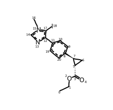 CCOC(=O)[C@H]1C[C@@H]1c1ccc(-c2ncn(C)c2I)cc1